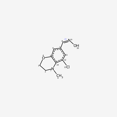 CN1CCOc2cc(/C=N\O)cc(Cl)c21